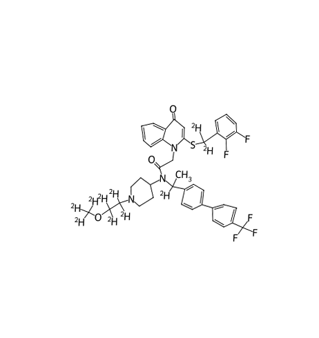 [2H]C([2H])([2H])OC([2H])([2H])C([2H])([2H])N1CCC(N(C(=O)Cn2c(SC([2H])([2H])c3cccc(F)c3F)cc(=O)c3ccccc32)C([2H])(C)c2ccc(-c3ccc(C(F)(F)F)cc3)cc2)CC1